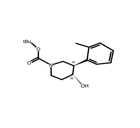 Cc1ccccc1[C@@H]1CN(C(=O)OC(C)(C)C)CC[C@H]1O